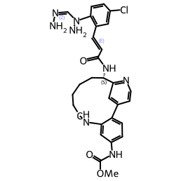 COC(=O)Nc1ccc2c(c1)NCCCCC[C@H](NC(=O)/C=C/c1cc(Cl)ccc1N(N)/C=N\N)c1cc-2ccn1